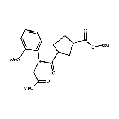 COC(=O)CN(C(=O)C1CCN(C(=O)OC(C)(C)C)C1)c1ccccc1OC